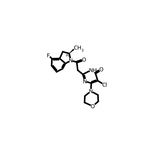 C[C@@H]1Cc2c(F)cccc2N1C(=O)Cc1nc(N2CCOCC2)c(Cl)c(=O)[nH]1